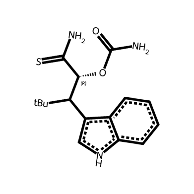 CC(C)(C)C(c1c[nH]c2ccccc12)[C@@H](OC(N)=O)C(N)=S